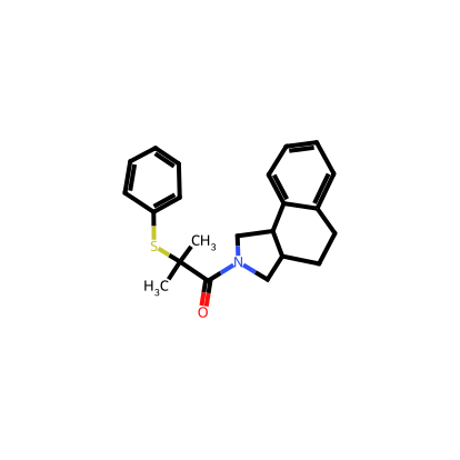 CC(C)(Sc1ccccc1)C(=O)N1CC2CCc3ccccc3C2C1